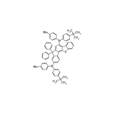 CC(C)(C)c1ccc(N(c2ccc([Si](C)(C)C)cc2)c2ccc3c(c2)C(c2ccccc2)(c2ccccc2)c2cc(N(c4ccc(C(C)(C)C)cc4)c4ccc([Si](C)(C)C)cc4)c4c(sc5ccccc54)c2-3)cc1